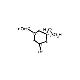 CCCCCCCCN1CCCC(CC)C1.CS(=O)(=O)O